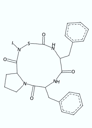 O=C1NC(Cc2ccccc2)C(=O)NC(Cc2ccccc2)C(=O)N2CCCC2C(=O)N(I)S1